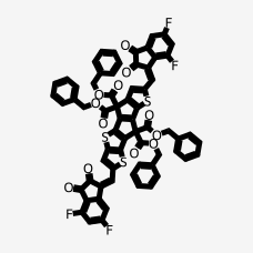 O=C1C(=O)c2c(F)cc(F)cc2/C1=C/c1cc2sc3c(c2s1)C(C(=O)OCc1ccccc1)(C(=O)OCc1ccccc1)C1=C3C(C(=O)OCc2ccccc2)(C(=O)OCc2ccccc2)c2cc(/C=C3\C(=O)C(=O)c4cc(F)cc(F)c43)sc21